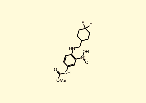 COC(=O)Nc1ccc(NCC2CCC(F)(F)CC2)c([N+](=O)O)c1